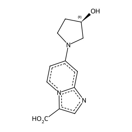 O=C(O)c1cnc2cc(N3CC[C@@H](O)C3)ccn12